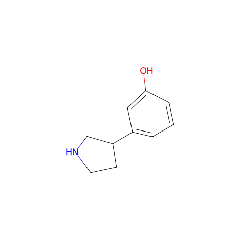 Oc1cccc(C2CCNC2)c1